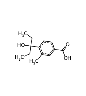 CCC(O)(CC)c1ccc(C(=O)O)cc1C